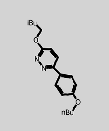 CCCCOc1ccc(-c2ccc(OCC(C)CC)nn2)cc1